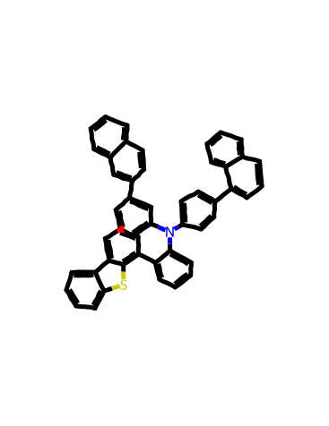 c1cc(-c2ccc3ccccc3c2)cc(N(c2ccc(-c3cccc4ccccc34)cc2)c2ccccc2-c2cccc3c2sc2ccccc23)c1